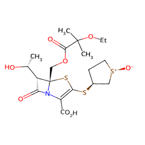 CCOC(C)(C)C(=O)OC[C@@]12SC(S[C@H]3CC[S@@+]([O-])C3)=C(C(=O)O)N1C(=O)[C@@H]2[C@@H](C)O